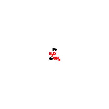 O.O.[Fe].[Sc]